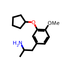 COc1ccc(CC(C)N)cc1OC1CCCC1